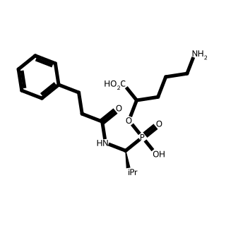 CC(C)[C@@H](NC(=O)CCc1ccccc1)P(=O)(O)OC(CCCN)C(=O)O